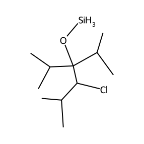 CC(C)C(Cl)C(O[SiH3])(C(C)C)C(C)C